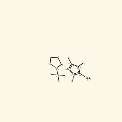 C[Si](C)(C)N1CCCC1.Cc1nn(C)c([SiH3])c1C